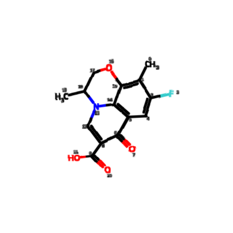 Cc1c(F)cc2c(=O)c(C(=O)O)cn3c2c1OCC3C